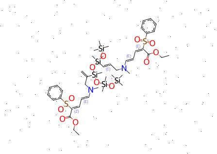 C=C(CN(C)/C=C/C=C(/C(=O)OCC)S(=O)(=O)c1ccccc1)[Si](C)(O[Si](C)(C)O[Si](C)(C)C)O[Si](C)(/C=C/CN(C)/C=C/C=C(\C(=O)OCC)S(=O)(=O)c1ccccc1)O[Si](C)(C)C